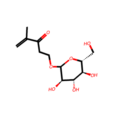 C=C(C)C(=O)CCOC1O[C@H](CO)[C@@H](O)[C@H](O)[C@H]1O